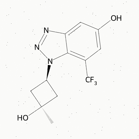 C[C@]1(O)C[C@@H](n2nnc3cc(O)cc(C(F)(F)F)c32)C1